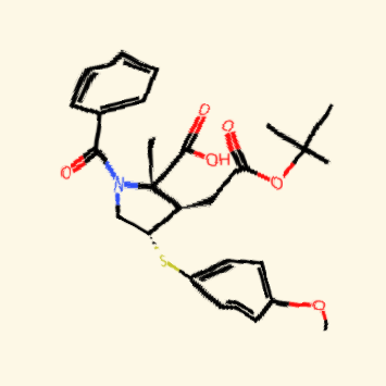 COc1ccc(S[C@@H]2CN(C(=O)c3ccccc3)[C@](C)(C(=O)O)[C@H]2CC(=O)OC(C)(C)C)cc1